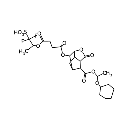 CC(OC(=O)C1C2CC3C(OC(=O)C31)C2OC(=O)CCC(=O)OC(C)C(F)(F)S(=O)(=O)O)OC1CCCCC1